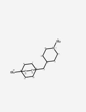 CC(C)(C)N1CCC(CC23CCC(C(C)(C)C)(CC2)CC3)CC1